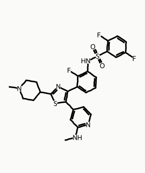 CNc1cc(-c2sc(C3CCN(C)CC3)nc2-c2cccc(NS(=O)(=O)c3cc(F)ccc3F)c2F)ccn1